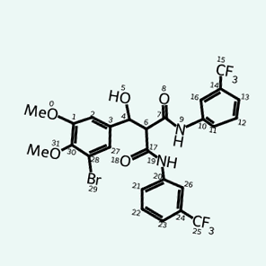 COc1cc(C(O)C(C(=O)Nc2cccc(C(F)(F)F)c2)C(=O)Nc2cccc(C(F)(F)F)c2)cc(Br)c1OC